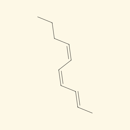 C/C=C/C=C\C=C/CCC